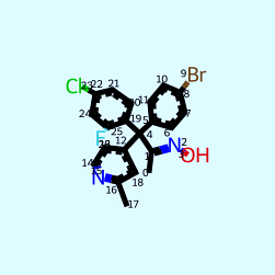 CC(=NO)C(c1ccc(Br)cc1)(c1ccnc(C)c1)c1ccc(Cl)cc1F